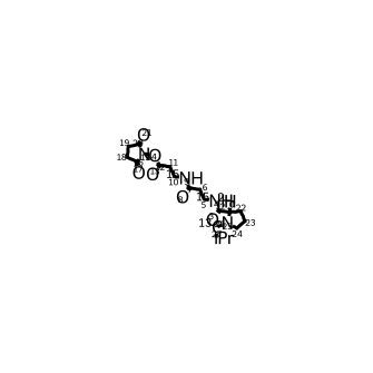 [2H]C1(C(=O)[15NH]CCC(=O)[15NH]CCC(=O)ON2C(=O)CCC2=O)CCCN1[13CH2][13CH]([13CH3])[13CH3]